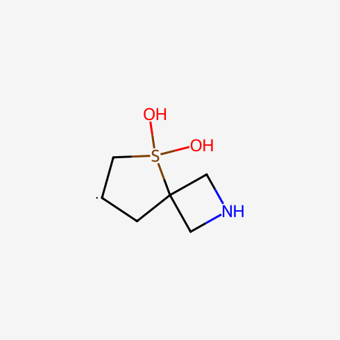 OS1(O)C[CH]CC12CNC2